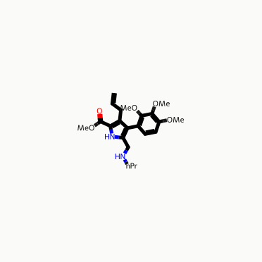 C=CCc1c(C(=O)OC)[nH]c(CNCCC)c1-c1ccc(OC)c(OC)c1OC